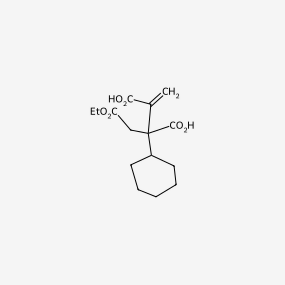 C=C(C(=O)O)C(CC(=O)OCC)(C(=O)O)C1CCCCC1